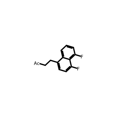 CC(=O)CCc1ccc(F)c2c(F)cccc12